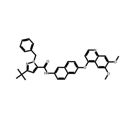 COc1cc2nccc(Oc3ccc4cc(NC(=O)c5cc(C(C)(C)C)nn5Cc5ccccc5)ccc4c3)c2cc1OC